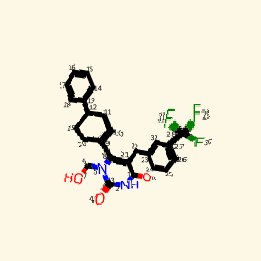 O=c1[nH]c(=O)n(CO)c(C2CCC(c3ccccc3)CC2)c1Cc1cccc(C(F)(F)F)c1